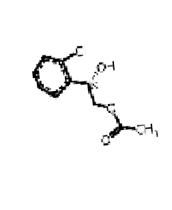 CC(=O)OC[C@@H](O)c1ccccc1Cl